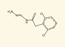 NN=CNC(=O)Cc1c(Cl)cccc1Cl